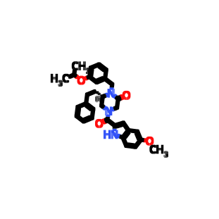 COc1ccc2[nH]c(C(=O)N3CC(=O)N(Cc4cccc(OC(C)C)c4)[C@@H](CCc4ccccc4)C3)cc2c1